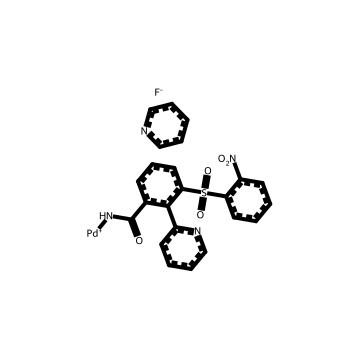 O=C([NH][Pd+])c1cccc(S(=O)(=O)c2ccccc2[N+](=O)[O-])c1-c1ccccn1.[F-].c1ccncc1